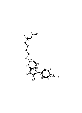 C=CCN(C)CCCCOc1ccc2c(c1)c(C)c(C)n2-c1ccc(C(F)(F)F)cc1